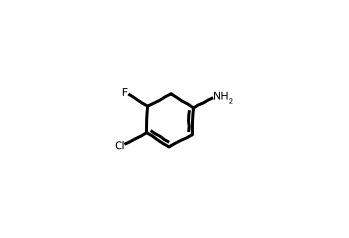 NC1=CC=C(Cl)C(F)C1